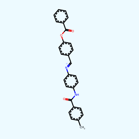 Cc1ccc(C(=O)Nc2ccc(/N=C/c3ccc(OC(=O)c4ccccc4)cc3)cc2)cc1